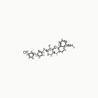 C[C@H]1C(=O)N(Cc2ccc3c(N)ncnc3c2)CCN1Cc1ccc(-c2ccc(Cl)s2)s1